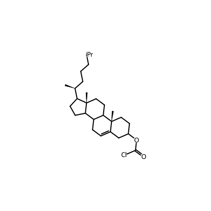 CC(C)CCC[C@H](C)C1CCC2C3CC=C4CC(OC(=O)Cl)CC[C@@]4(C)C3CC[C@]21C